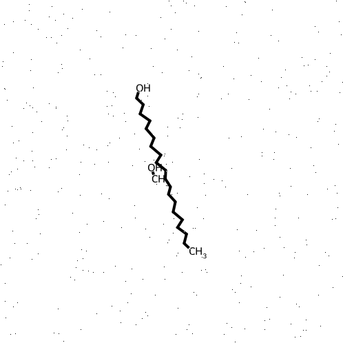 CCCCCCCCCCCCCCCCCCCCO.CO